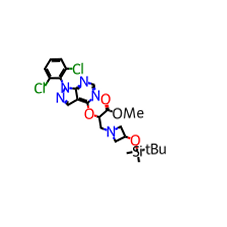 COC(=O)C(CN1CC(O[Si](C)(C)C(C)(C)C)C1)Oc1ncnc2c1cnn2-c1c(Cl)cccc1Cl